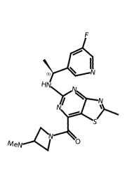 CNC1CN(C(=O)c2nc(N[C@@H](C)c3cncc(F)c3)nc3nc(C)sc23)C1